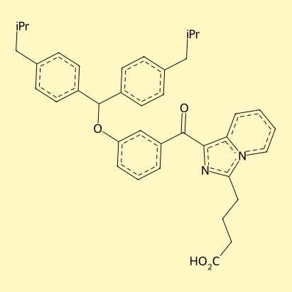 CC(C)Cc1ccc(C(Oc2cccc(C(=O)c3nc(CCCC(=O)O)n4ccccc34)c2)c2ccc(CC(C)C)cc2)cc1